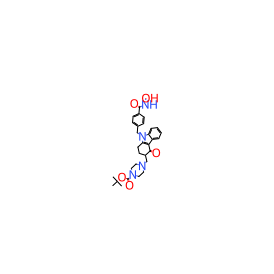 CC(C)(C)OC(=O)N1CCN(CC2CCc3c(c4ccccc4n3Cc3ccc(C(=O)NO)cc3)C2=O)CC1